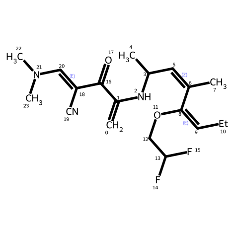 C=C(NC(C)/C=C(C)\C(=C/CC)OCC(F)F)C(=O)/C(C#N)=C/N(C)C